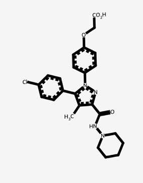 Cc1c(C(=O)NN2CCCCC2)nn(-c2ccc(OCC(=O)O)cc2)c1-c1ccc(Cl)cc1